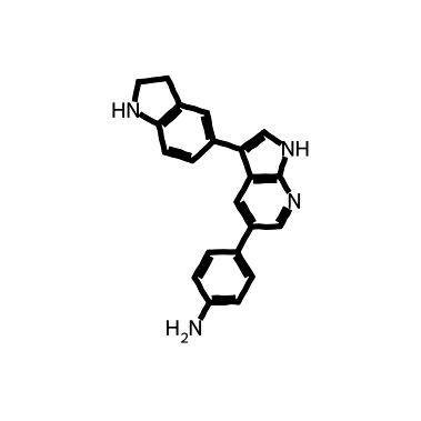 Nc1ccc(-c2cnc3[nH]cc(-c4ccc5c(c4)CCN5)c3c2)cc1